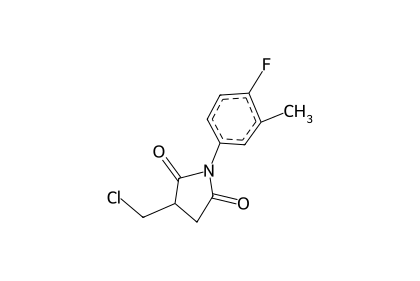 Cc1cc(N2C(=O)CC(CCl)C2=O)ccc1F